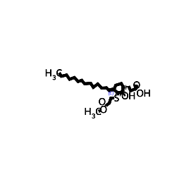 CCCCCCCCCCCCC/C=C1\CC[C@H](CCC(=O)O)[C@@H](O)[C@@H]1SCCC(=O)OC